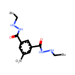 CCC(C)CNNC(=O)c1cc(C(=O)NNCC(C)CC)cc([N+](=O)[O-])c1